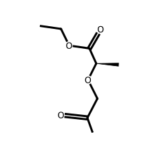 CCOC(=O)[C@@H](C)OCC(C)=O